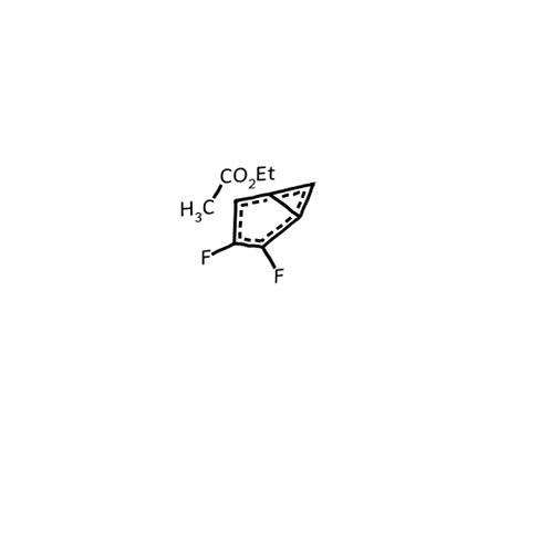 CCOC(C)=O.Fc1cc2cc-2c1F